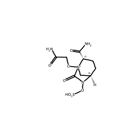 NC(=O)CO[N+]12C[C@@H](CC[C@H]1C(N)=O)N(OS(=O)(=O)O)C2=O